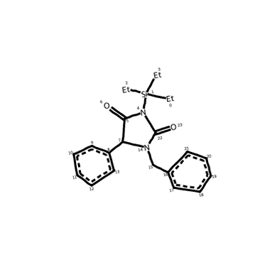 CC[Si](CC)(CC)N1C(=O)C(c2ccccc2)N(Cc2ccccc2)C1=O